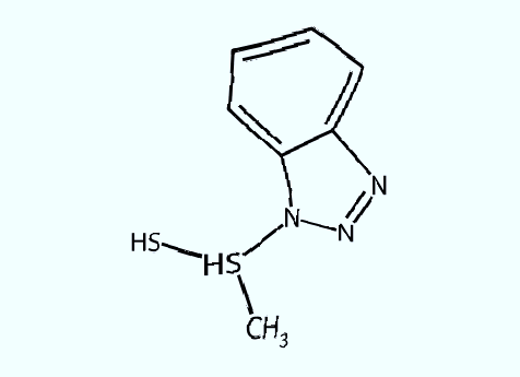 C[SH](S)n1nnc2ccccc21